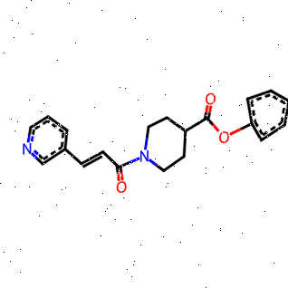 O=C(Oc1ccccc1)C1CCN(C(=O)C=Cc2cccnc2)CC1